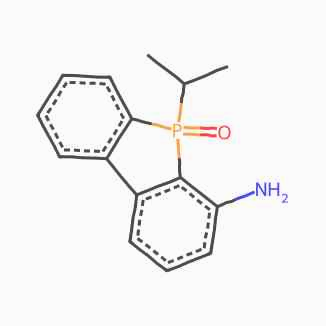 CC(C)P1(=O)c2ccccc2-c2cccc(N)c21